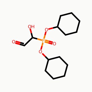 O=CC(O)P(=O)(OC1CCCCC1)OC1CCCCC1